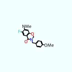 CNc1cc2c(cc1F)C(=O)N(Cc1ccc(OC)cc1)CO2